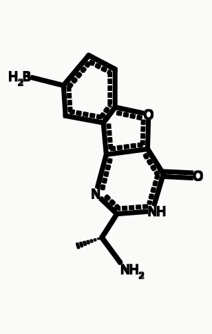 Bc1ccc2oc3c(=O)[nH]c([C@@H](C)N)nc3c2c1